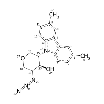 Cc1ccc2c(c1)c1cc(C)ccc1n2[C@H]1COCC(N=[N+]=[N-])[C@@H]1O